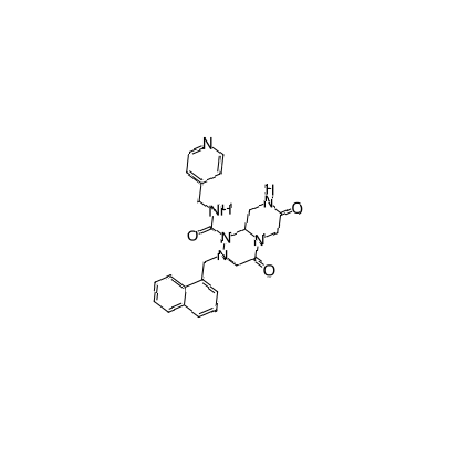 O=C1CN2C(=O)CN(Cc3cccc4ccccc34)N(C(=O)NCc3ccncc3)C2CN1